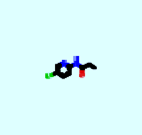 CCC(=O)Nc1ccc(Cl)cn1